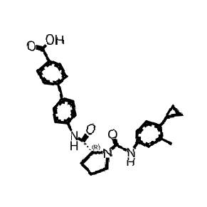 Cc1cc(NC(=O)N2CCC[C@@H]2C(=O)Nc2ccc(-c3ccc(C(=O)O)cc3)cc2)ccc1C1CC1